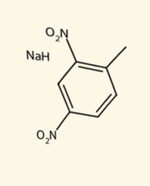 Cc1ccc([N+](=O)[O-])cc1[N+](=O)[O-].[NaH]